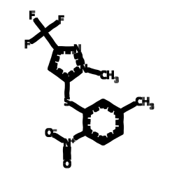 Cc1ccc([N+](=O)[O-])c(Sc2cc(C(F)(F)F)nn2C)c1